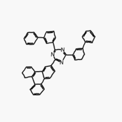 C1=Cc2c(c3ccccc3c3ccc(-c4nc(C5=CCCC(c6ccccc6)=C5)nc(-c5cccc(-c6ccccc6)c5)n4)cc23)CC1